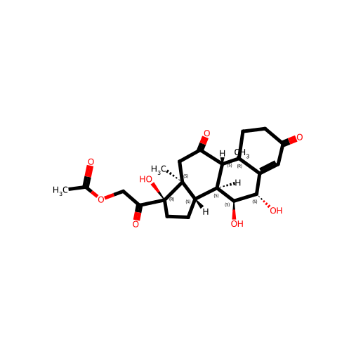 CC(=O)OCC(=O)[C@@]1(O)CC[C@H]2[C@@H]3[C@H](O)[C@@H](O)C4=CC(=O)CC[C@]4(C)[C@H]3C(=O)C[C@@]21C